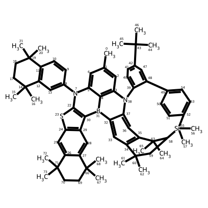 Cc1cc2c3c(c1)N(c1ccc4c(c1)C(C)(C)CCC4(C)C)c1sc4cc5c(cc4c1B3c1cc3c4cc1N2c1ccc(C(C)(C)C)cc1-c1ccc(cc1)[Si](C)(C)C(CC3(C)C)C4(C)C)C(C)(C)CCC5(C)C